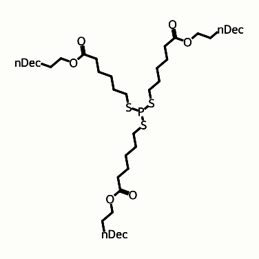 CCCCCCCCCCCCOC(=O)CCCCCSP(SCCCCCC(=O)OCCCCCCCCCCCC)SCCCCCC(=O)OCCCCCCCCCCCC